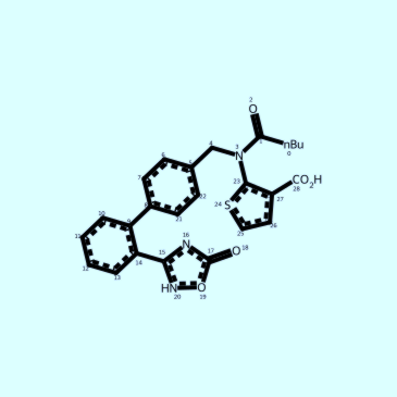 CCCCC(=O)N(Cc1ccc(-c2ccccc2-c2nc(=O)o[nH]2)cc1)c1sccc1C(=O)O